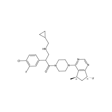 C[C@@H]1C[C@@H](F)c2ncnc(N3CCN(C(=O)C(CNCC4CC4)c4ccc(Cl)c(F)c4)CC3)c21